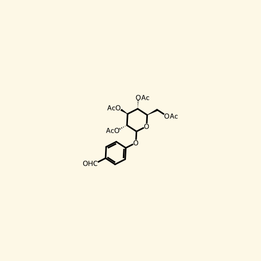 CC(=O)OC[C@H]1OC(Oc2ccc(C=O)cc2)[C@H](OC(C)=O)[C@@H](OC(C)=O)[C@@H]1OC(C)=O